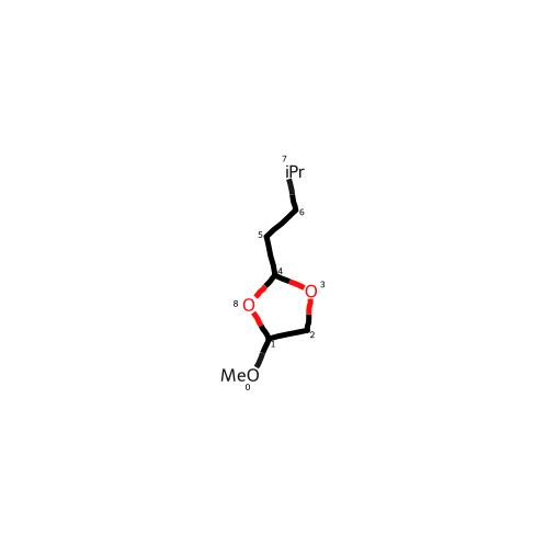 COC1COC(CCC(C)C)O1